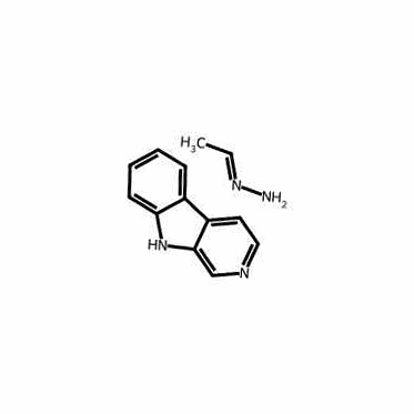 CC=NN.c1ccc2c(c1)[nH]c1cnccc12